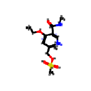 C=C(/C=C(OCC)\C(=C/N)C(=O)NC)COS(C)(=O)=O